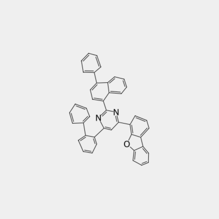 c1ccc(-c2ccccc2-c2cc(-c3cccc4c3oc3ccccc34)nc(-c3ccc(-c4ccccc4)c4ccccc34)n2)cc1